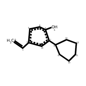 C=Cc1ccc(O)c(C2CCCCC2)c1